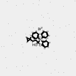 CC1(CCC(O)(O)[P+](c2ccccc2)(c2ccccc2)c2ccccc2)CC1.[Br-]